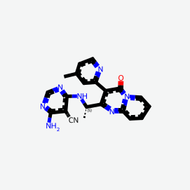 Cc1ccnc(-c2c([C@H](C)Nc3ncnc(N)c3C#N)nc3ccccn3c2=O)c1